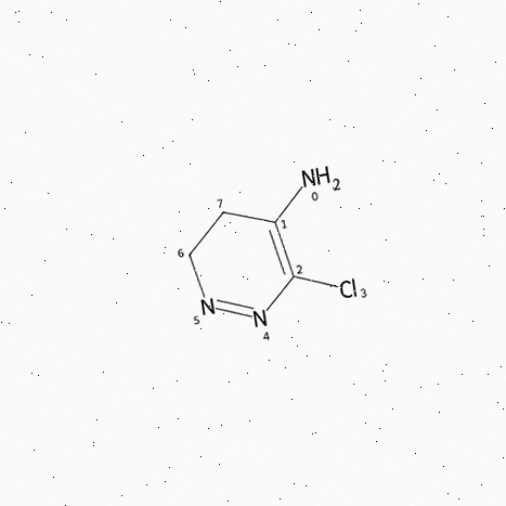 NC1=C(Cl)N=NCC1